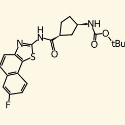 CC(C)(C)OC(=O)N[C@@H]1CC[C@H](C(=O)Nc2nc3ccc4cc(F)ccc4c3s2)C1